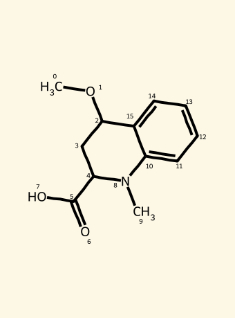 COC1CC(C(=O)O)N(C)c2ccccc21